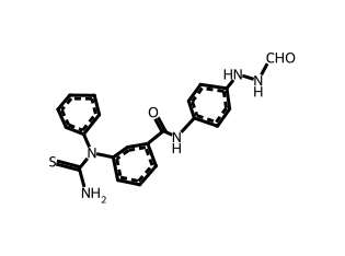 NC(=S)N(c1ccccc1)c1cccc(C(=O)Nc2ccc(NNC=O)cc2)c1